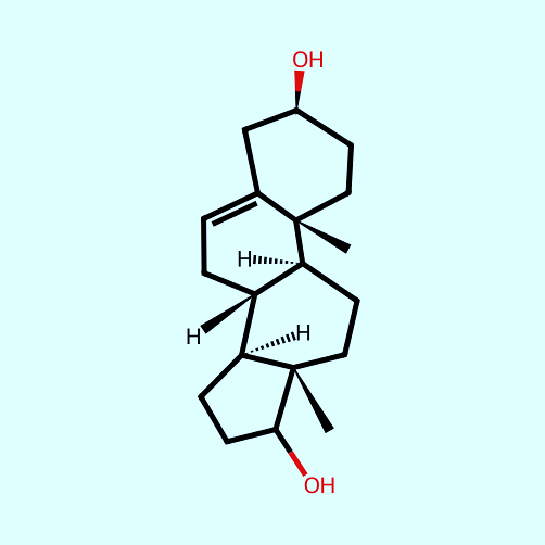 C[C@]12CC[C@H](O)CC1=CC[C@@H]1[C@@H]2CC[C@]2(C)C(O)CC[C@@H]12